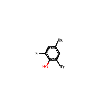 CCC(C)c1cc(C(C)C)c(O)c(C(C)C)c1